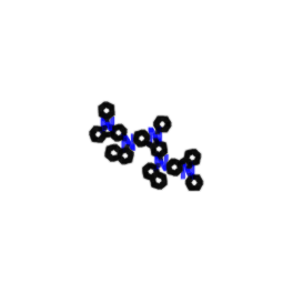 c1ccc(-n2c3ccccc3c3cc(N(c4ccc5c(c4)c4cc(N(c6ccc7c(c6)c6ccccc6n7-c6ccccc6)c6cccc7ccccc67)ccc4n5-c4ccccc4)c4cccc5ccccc45)ccc32)cc1